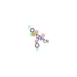 N#CCNC(=O)[C@@H]1C[C@H](S(=O)(=O)c2ccc(F)cc2Cl)C[C@H]1COc1ccc(F)cc1